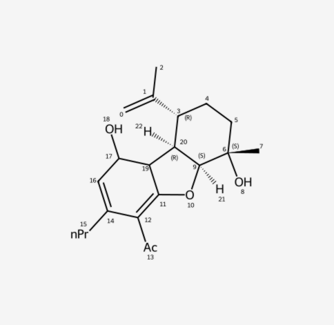 C=C(C)[C@@H]1CC[C@](C)(O)[C@H]2OC3=C(C(C)=O)C(CCC)=CC(O)C3[C@@H]12